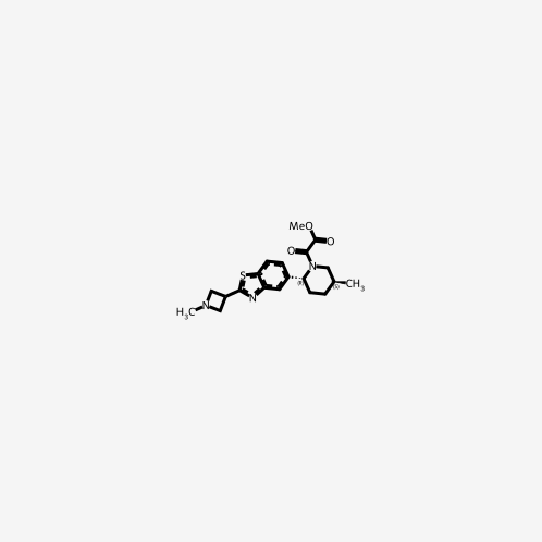 COC(=O)C(=O)N1C[C@@H](C)CC[C@@H]1c1ccc2sc(C3CN(C)C3)nc2c1